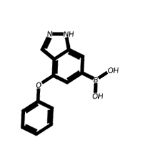 OB(O)c1cc(Oc2ccccc2)c2cn[nH]c2c1